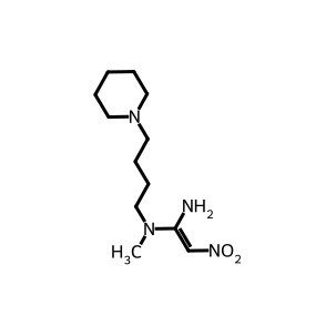 CN(CCCCN1CCCCC1)C(N)=C[N+](=O)[O-]